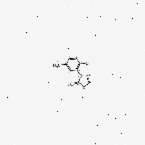 Cc1ccc(Cl)c(N2N=CCC2=O)c1